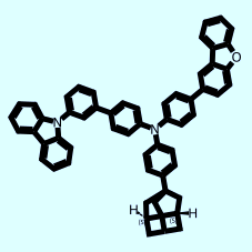 c1cc(-c2ccc(N(c3ccc(-c4ccc5oc6ccccc6c5c4)cc3)c3ccc(C45C[C@@H]6CC7C[C@@H](C4)C76C5)cc3)cc2)cc(-n2c3ccccc3c3ccccc32)c1